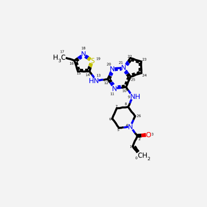 C=CC(=O)N1CCCC(Nc2nc(Nc3cc(C)ns3)nn3cccc23)C1